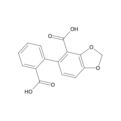 O=C(O)c1ccccc1-c1ccc2c(c1C(=O)O)OCO2